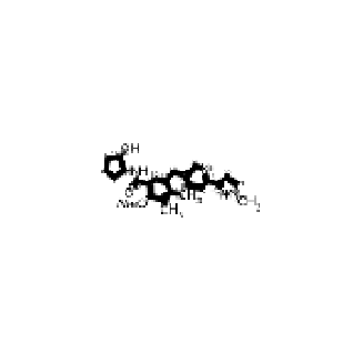 COc1c(C(=O)N[C@H]2CCC[C@@H]2O)cc(Cc2ccc(-c3ccn(C)n3)nc2)c(C)c1C